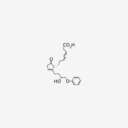 O=C(O)CC=C=CCC[C@H]1C(=O)CC=C1CCC(O)COc1ccccc1